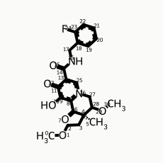 COCC[C@@]1(C)C(=O)c2c(O)c(=O)c(C(=O)NCc3ccccc3F)cn2CC1OC